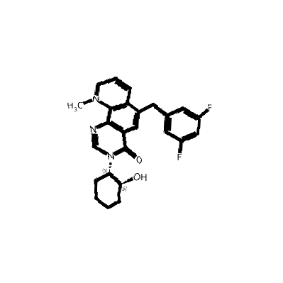 CN1CC=Cc2c(Cc3cc(F)cc(F)c3)cc3c(=O)n([C@H]4CCCC[C@@H]4O)cnc3c21